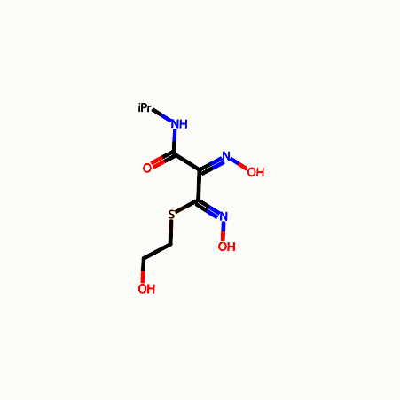 CC(C)NC(=O)C(=NO)C(=NO)SCCO